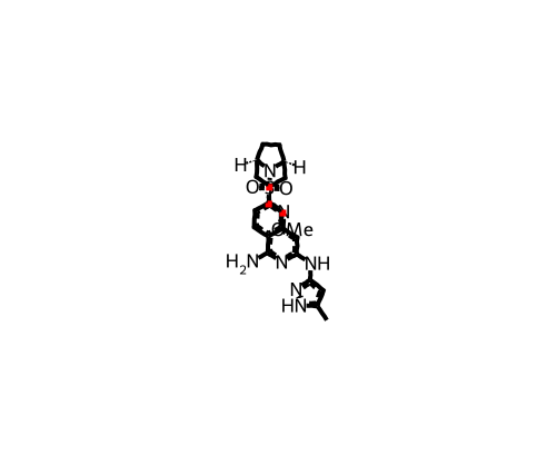 COCCS(=O)(=O)N1[C@@H]2CC[C@H]1C[C@@H](c1ccc3c(N)nc(Nc4cc(C)[nH]n4)cc3n1)C2